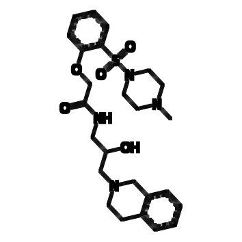 CN1CCN(S(=O)(=O)c2ccccc2OCC(=O)NCC(O)CN2CCc3ccccc3C2)CC1